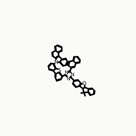 CC1(C)c2ccccc2C2Oc3cc(-c4nc(-c5ccc6ccccc6c5)nc(-c5cccc6c5sc5c(-n7c8ccccc8c8c9ccccc9ccc87)cccc56)n4)ccc3C21